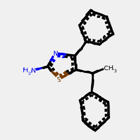 CC(c1ccccc1)c1sc(N)nc1-c1ccccc1